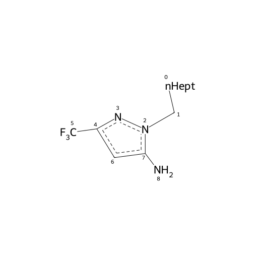 CCCCCCCCn1nc(C(F)(F)F)cc1N